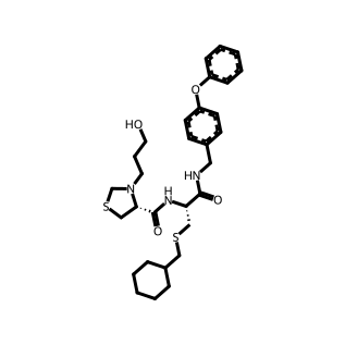 O=C(NCc1ccc(Oc2ccccc2)cc1)[C@H](CSCC1CCCCC1)NC(=O)[C@@H]1CSCN1CCCO